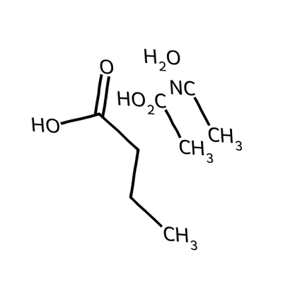 CC#N.CC(=O)O.CCCC(=O)O.O